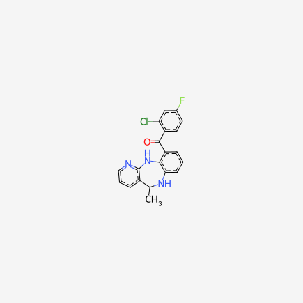 CC1Nc2cccc(C(=O)c3ccc(F)cc3Cl)c2Nc2ncccc21